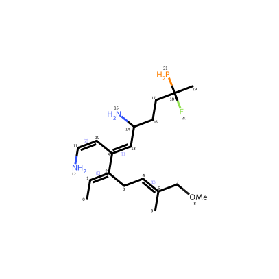 C/C=C(C/C=C(\C)COC)/C(/C=C\N)=C/C(N)CCC(C)(F)P